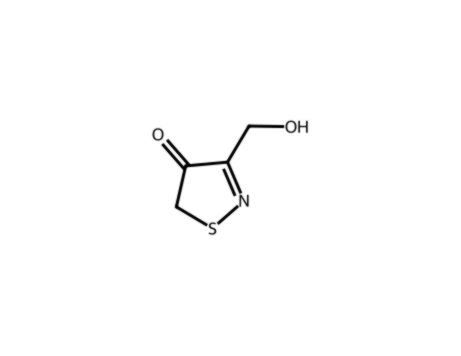 O=C1CSN=C1CO